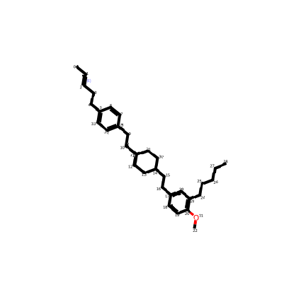 C/C=C/CCc1ccc(CCC2CCC(CCc3ccc(OC)c(CCCCC)c3)CC2)cc1